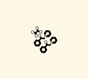 O=C(C[n+]1ccccc1)c1ccccc1.O=C(C[n+]1ccccc1)c1ccccc1.O=C([O-])C(=O)[O-]